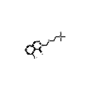 C[Si](C)(C)CCOCn1ccc2cccc(Br)c2c1=O